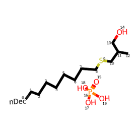 CCCCCCCCCCCCCCCCCCSCC(C)CO.O=P(O)(O)O